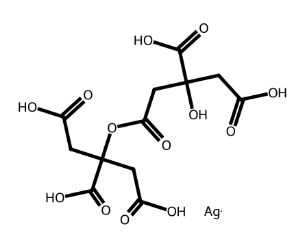 O=C(O)CC(O)(CC(=O)OC(CC(=O)O)(CC(=O)O)C(=O)O)C(=O)O.[Ag]